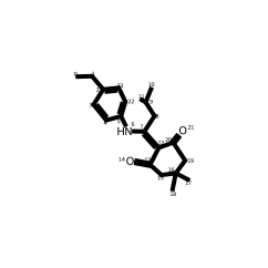 CCc1ccc(NC(CC(C)C)=C2C(=O)CC(C)(C)CC2=O)cc1